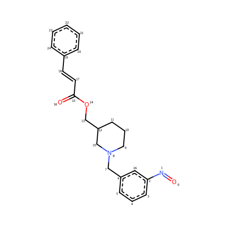 O=Nc1cccc(CN2CCCC(COC(=O)/C=C/c3ccccc3)C2)c1